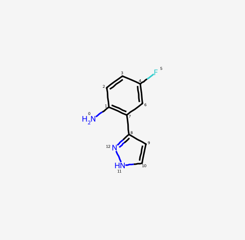 Nc1ccc(F)cc1-c1cc[nH]n1